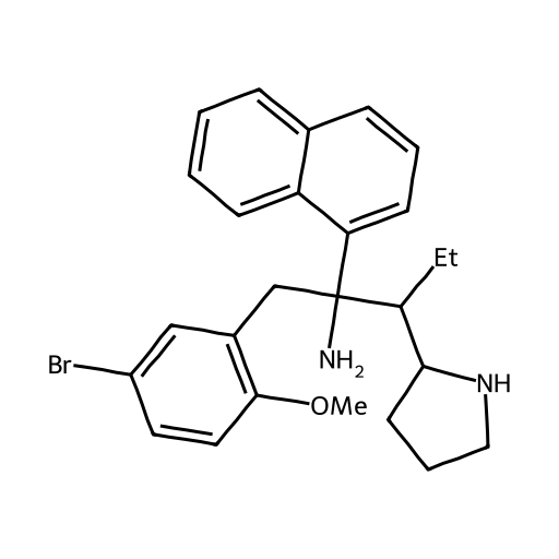 CCC(C1CCCN1)C(N)(Cc1cc(Br)ccc1OC)c1cccc2ccccc12